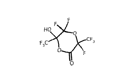 O=C1OC(O)(C(F)(F)F)C(F)(F)OC1(F)C(F)(F)F